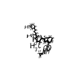 Cc1cnc(NCCCC2CCCNC2)nc1-c1cc2c(C(=O)ONC3CC3)cccc2s1